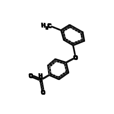 Cc1cccc(Oc2ccc([SH](=O)=O)cc2)c1